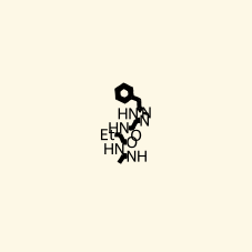 CCC(NC(=O)c1nnc(Cc2ccccc2)[nH]1)C(=O)NC(C)=N